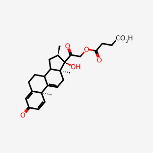 C[C@@H]1CC2C3CCC4=CC(=O)C=C[C@]4(C)C3=CC[C@]2(C)[C@@]1(O)C(=O)COC(=O)CCC(=O)O